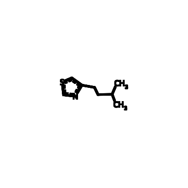 CC(C)CCc1cscn1